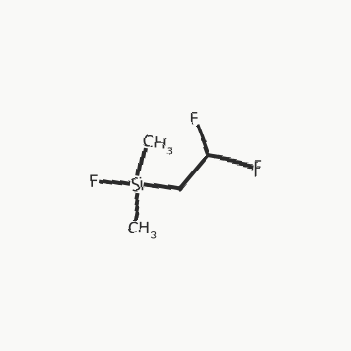 C[Si](C)(F)CC(F)F